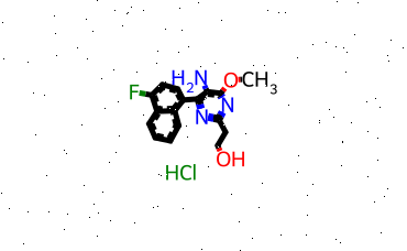 COc1nc(CCO)nc(-c2ccc(F)c3ccccc23)c1N.Cl